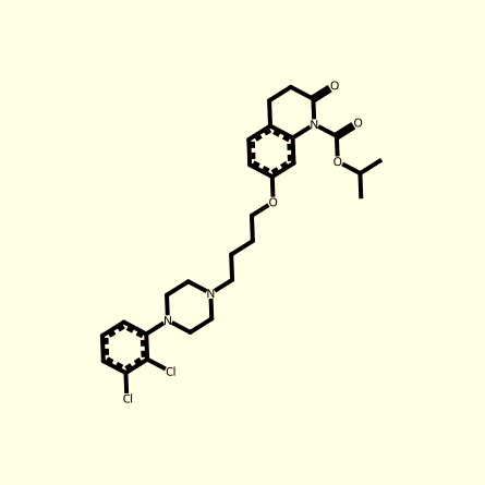 CC(C)OC(=O)N1C(=O)CCc2ccc(OCCCCN3CCN(c4cccc(Cl)c4Cl)CC3)cc21